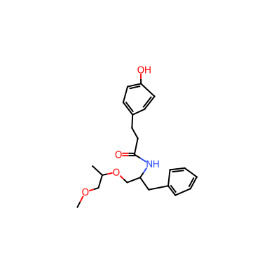 COCC(C)OCC(Cc1ccccc1)NC(=O)CCc1ccc(O)cc1